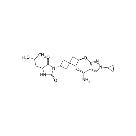 CC(C)CC1NC(=O)N([C@H]2CC3(C[C@H](Oc4nn(C5CC5)cc4C(N)=O)C3)C2)C1=O